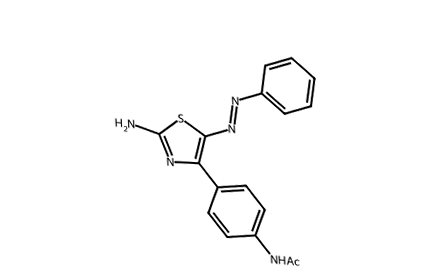 CC(=O)Nc1ccc(-c2nc(N)sc2N=Nc2ccccc2)cc1